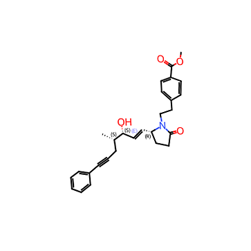 COC(=O)c1ccc(CCN2C(=O)CC[C@@H]2/C=C/[C@@H](O)[C@@H](C)CC#Cc2ccccc2)cc1